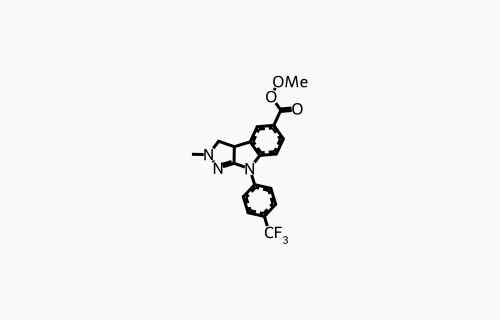 COOC(=O)c1ccc2c(c1)C1CN(C)N=C1N2c1ccc(C(F)(F)F)cc1